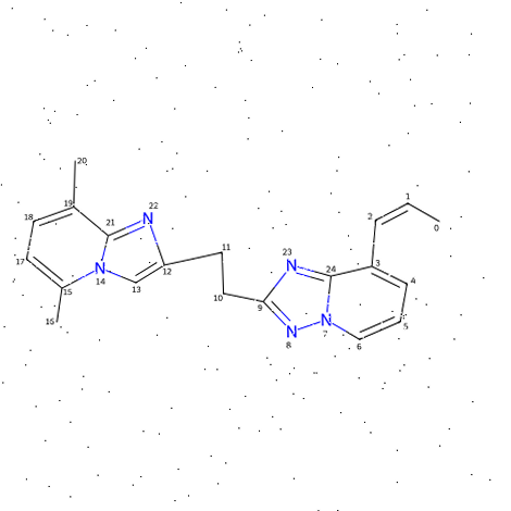 C/C=C\c1cccn2nc(CCc3cn4c(C)ccc(C)c4n3)nc12